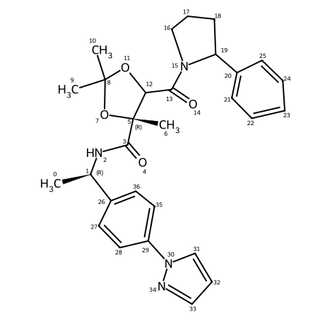 C[C@@H](NC(=O)[C@]1(C)OC(C)(C)OC1C(=O)N1CCCC1c1ccccc1)c1ccc(-n2cccn2)cc1